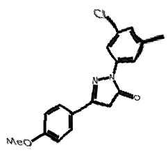 COc1ccc(C2=NN(c3cc(C)cc(Cl)c3)C(=O)C2)cc1